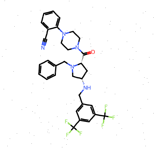 N#Cc1ccccc1N1CCN(C(=O)[C@@H]2C[C@H](NCc3cc(C(F)(F)F)cc(C(F)(F)F)c3)CN2Cc2ccccc2)CC1